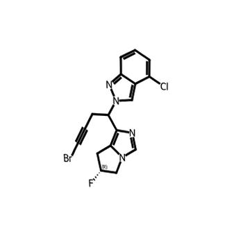 F[C@@H]1Cc2c(C(CC#CBr)n3cc4c(Cl)cccc4n3)ncn2C1